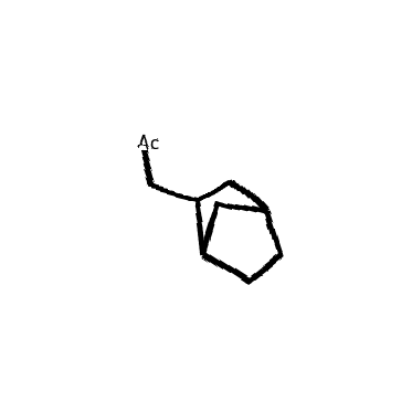 CC(=O)CC1CC2CCC1C2